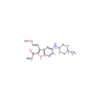 CCO/C=C/c1c(C(=O)OC)oc2cnc(NC3CCN(C)CC3)cc12